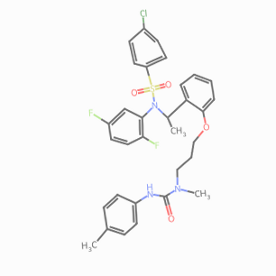 Cc1ccc(NC(=O)N(C)CCCOc2ccccc2C(C)N(c2cc(F)ccc2F)S(=O)(=O)c2ccc(Cl)cc2)cc1